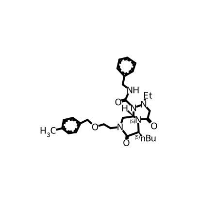 CCCC[C@H]1C(=O)N(CCOCc2ccc(C)cc2)C[C@H]2N1C(=O)CN(CC)N2C(=O)NCc1ccccc1